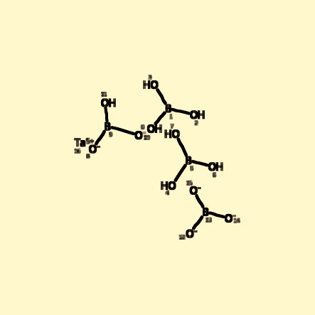 OB(O)O.OB(O)O.[O-]B([O-])O.[O-]B([O-])[O-].[Ta+5]